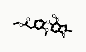 CCOC(=O)Cc1ccc(Oc2ccc3c(cc(C)n3C)c2N=O)c(OC)c1